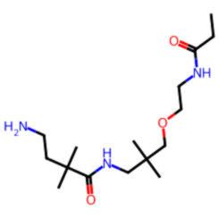 CCC(=O)NCCOCC(C)(C)CNC(=O)C(C)(C)CCN